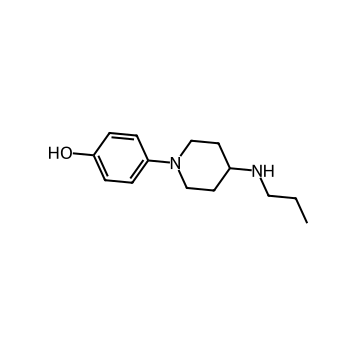 CCCNC1CCN(c2ccc(O)cc2)CC1